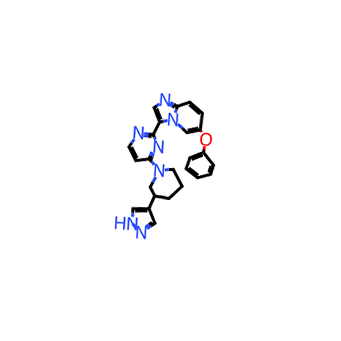 c1ccc(Oc2ccc3ncc(-c4nccc(N5CCCC(c6cn[nH]c6)C5)n4)n3c2)cc1